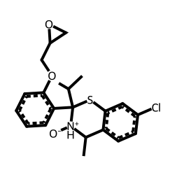 CC1c2ccc(Cl)cc2SC(c2ccccc2OCC2CO2)(C(C)C)[NH+]1[O-]